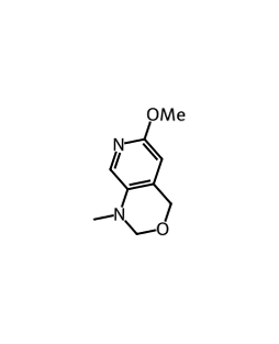 COc1cc2c(cn1)N(C)COC2